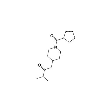 CC(C)C(=O)CC1CCN(C(=O)C2CCCC2)CC1